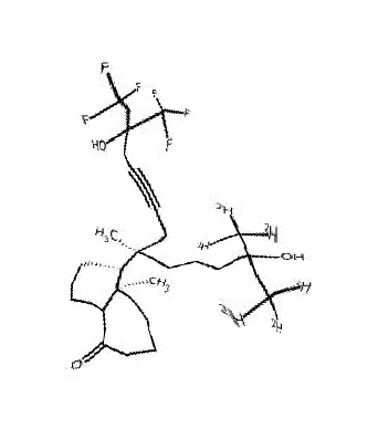 [2H]C([2H])([2H])C(O)(CCC[C@](C)(CC#CC(O)(C(F)(F)F)C(F)(F)F)[C@H]1CCC2C(=O)CCC[C@@]21C)C([2H])([2H])[2H]